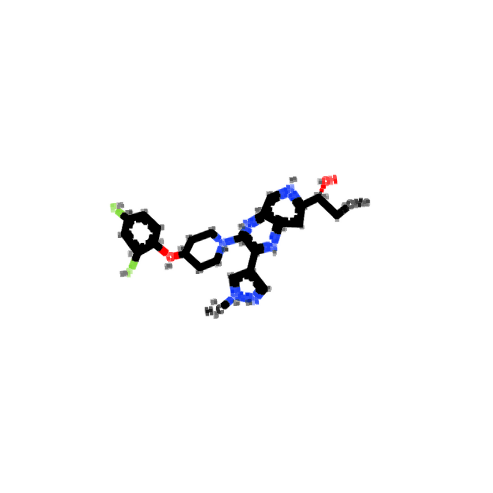 COC[C@@H](O)c1cc2nc(-c3cnn(C)c3)c(N3CCC(Oc4ccc(F)cc4F)CC3)nc2cn1